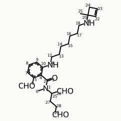 CN(C(=O)c1c(C=O)cccc1NCCCCCCCNC1(C)C=CC1)C(C=O)CCC=O